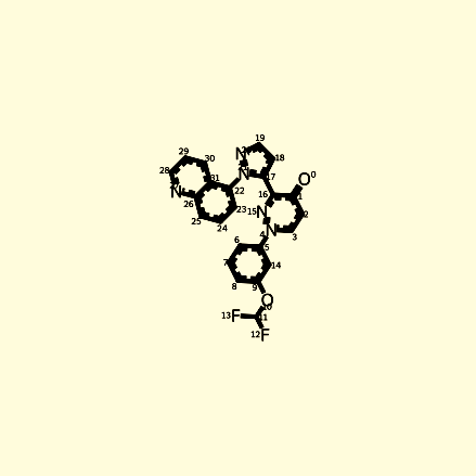 O=c1ccn(-c2cccc(OC(F)F)c2)nc1-c1ccnn1-c1cccc2ncccc12